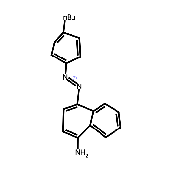 CCCCc1ccc(/N=N/c2ccc(N)c3ccccc23)cc1